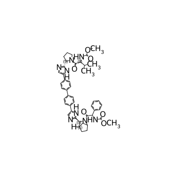 COC(=O)NC(C(=O)N1C2CC[C@@H](C2)[C@H]1c1ncc(-c2ccc(-c3ccc(-c4cnc([C@@H]5CCCN5C(=O)[C@@H](NC(=O)OC)C(C)C)[nH]4)cc3)cc2)[nH]1)c1ccccc1